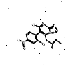 CCC(C)Cc1c(-c2ccc([N+](=O)[O-])cc2Cl)c(Cl)nc2ncnn12